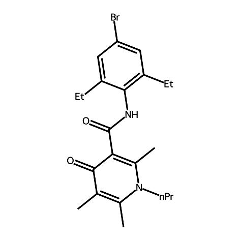 CCCn1c(C)c(C)c(=O)c(C(=O)Nc2c(CC)cc(Br)cc2CC)c1C